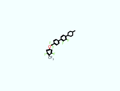 CC1CCC(c2ccc(-c3ccc(C(F)(F)Oc4cc(F)c(C(F)(F)F)c(F)c4)cc3)c(F)c2F)CC1